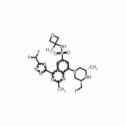 Cc1nc(-c2nnc(C(F)F)s2)c2cc(S(=O)(=O)NC3(C)COC3)cc(N3C[C@H](CF)N[C@@H](C)C3)c2n1